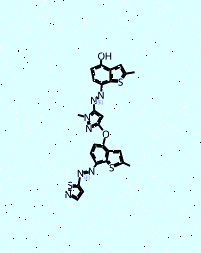 Cc1cc2c(O)ccc(/N=N/c3cc(Oc4ccc(/N=N/c5ccns5)c5sc(C)cc45)nn3C)c2s1